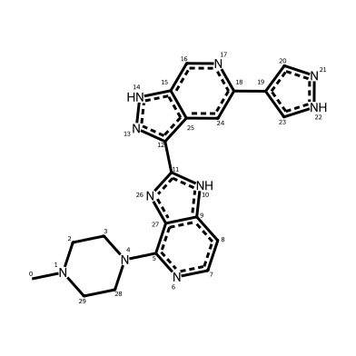 CN1CCN(c2nccc3[nH]c(-c4n[nH]c5cnc(-c6cn[nH]c6)cc45)nc23)CC1